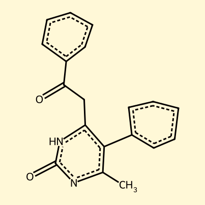 Cc1nc(=O)[nH]c(CC(=O)c2ccccc2)c1-c1ccccc1